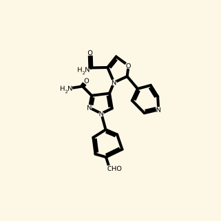 NC(=O)C1=COC(c2ccncc2)N1c1cn(-c2ccc(C=O)cc2)nc1C(N)=O